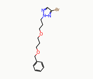 Brc1cnn(CCCOCCCOCc2ccccc2)n1